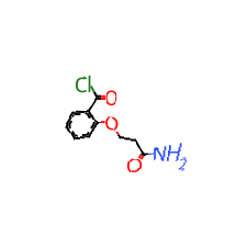 NC(=O)CCOc1ccccc1C(=O)Cl